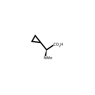 CN[C@H](C(=O)O)C1CC1